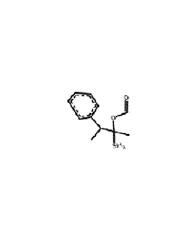 C[C](c1ccccc1)C(C)([SiH3])O[C]=O